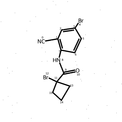 N#Cc1cc(Br)ccc1NC(=O)C1(Br)CCC1